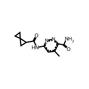 Cc1cc(NC(=O)C2CC23CC3)nnc1C(N)=O